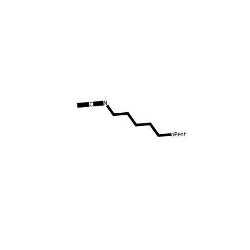 C=C=NCCCCCCCCCC